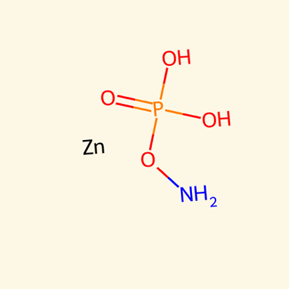 NOP(=O)(O)O.[Zn]